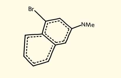 CNc1cc(Br)c2ccccc2c1